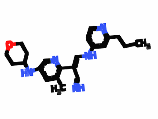 CCCc1cc(N/C=C(\C=N)c2ncc(NC3CCOCC3)cc2C)ccn1